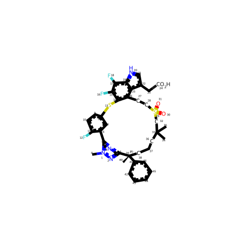 Cn1nc2nc1-c1cc(ccc1F)Sc1c(F)c(F)c3[nH]cc(CC(=O)O)c3c1CCS(=O)(=O)CC(C)(C)CCC[C@]2(C)c1ccccc1